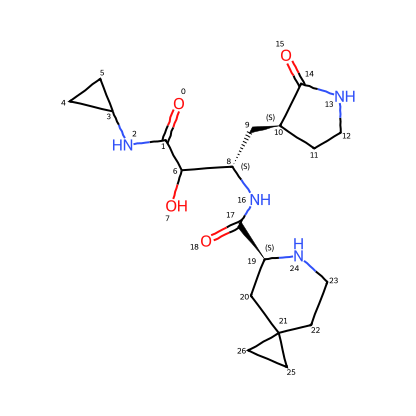 O=C(NC1CC1)C(O)[C@H](C[C@@H]1CCNC1=O)NC(=O)[C@@H]1CC2(CCN1)CC2